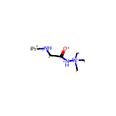 CC(C)NCC(=O)N[N+](C)(C)C